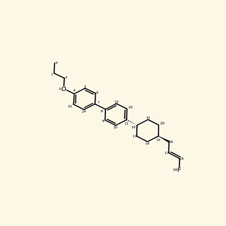 CCCOc1ccc(-c2ccc([C@H]3CC[C@H](CC=CF)CC3)cc2)cc1